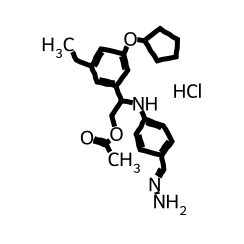 CCc1cc(OC2CCCC2)cc(C(COC(C)=O)Nc2ccc(C=NN)cc2)c1.Cl